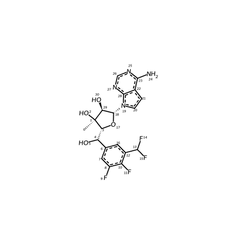 C[C@@]1(O)[C@@H](C(O)c2cc(F)c(F)c(C(F)F)c2)O[C@@H](n2ccc3c(N)ncnc32)[C@@H]1O